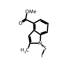 COC(=O)c1cccc2c1cc(C)n2SI